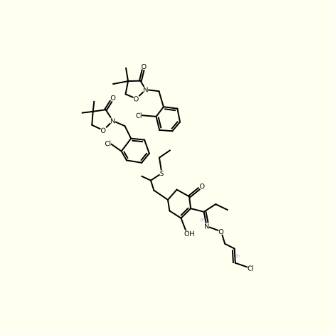 CC1(C)CON(Cc2ccccc2Cl)C1=O.CC1(C)CON(Cc2ccccc2Cl)C1=O.CCSC(C)CC1CC(=O)C(/C(CC)=N/OC/C=C/Cl)=C(O)C1